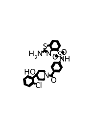 Nc1nc2c(S(=O)(=O)Nc3ccc(C(=O)N4CCC(O)(c5ccccc5Cl)CC4)cc3)cccc2s1